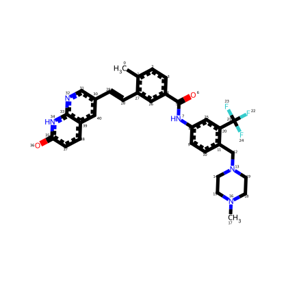 Cc1ccc(C(=O)Nc2ccc(CN3CCN(C)CC3)c(C(F)(F)F)c2)cc1C=Cc1cnc2[nH]c(=O)ccc2c1